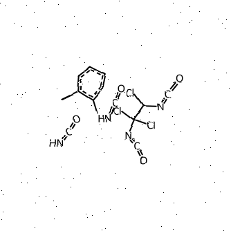 Cc1ccccc1C.N=C=O.N=C=O.O=C=NC(Cl)C(Cl)(Cl)N=C=O